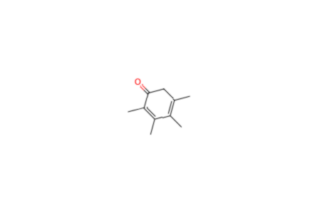 CC1=C(C)C(C)=C(C)C(=O)C1